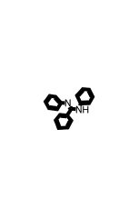 c1ccc(/N=C(/Nc2ccccc2)c2ccccc2)cc1